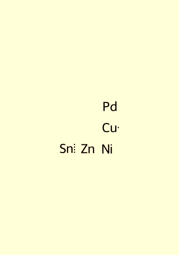 [Cu].[Ni].[Pd].[Sn].[Zn]